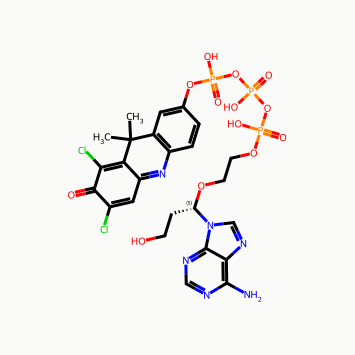 CC1(C)C2=C(Cl)C(=O)C(Cl)=CC2=Nc2ccc(OP(=O)(O)OP(=O)(O)OP(=O)(O)OCCO[C@@H](CCO)n3cnc4c(N)ncnc43)cc21